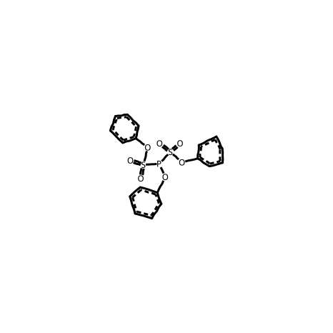 O=S(=O)(Oc1ccccc1)P(Oc1ccccc1)S(=O)(=O)Oc1ccccc1